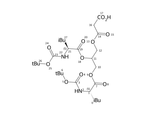 CCC(C)[C@H](NC(=O)OC(C)(C)C)C(=O)OCC(COC(=O)CC(=O)O)OC(=O)[C@@H](NC(=O)OC(C)(C)C)C(C)CC